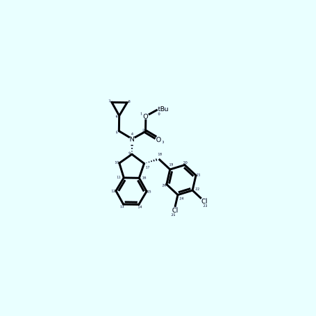 CC(C)(C)OC(=O)N(CC1CC1)[C@H]1Cc2ccccc2[C@H]1Cc1ccc(Cl)c(Cl)c1